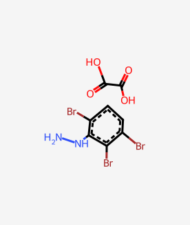 NNc1c(Br)ccc(Br)c1Br.O=C(O)C(=O)O